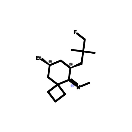 CC[C@H]1C[C@@H](CC(C)(C)CF)/C(=N\C)C2(CCC2)C1